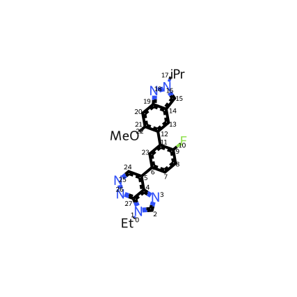 CCn1cnc2c(-c3ccc(F)c(-c4cc5cn(C(C)C)nc5cc4OC)c3)cnnc21